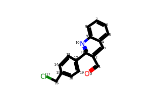 O=Cc1cc2ccccc2nc1-c1ccc(CCl)cc1